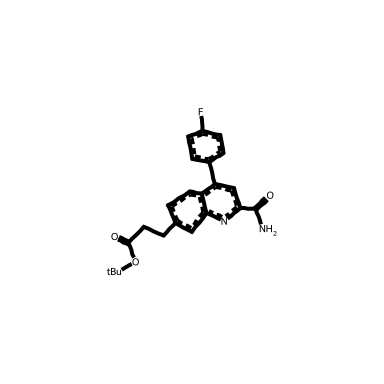 CC(C)(C)OC(=O)CCc1ccc2c(-c3ccc(F)cc3)cc(C(N)=O)nc2c1